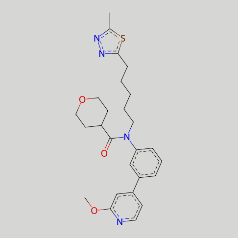 COc1cc(-c2cccc(N(CCCCCc3nnc(C)s3)C(=O)C3CCOCC3)c2)ccn1